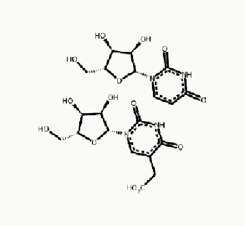 O=C(O)Cc1cn([C@@H]2O[C@H](CO)[C@@H](O)[C@H]2O)c(=O)[nH]c1=O.O=c1ccn([C@@H]2O[C@H](CO)[C@@H](O)[C@H]2O)c(=O)[nH]1